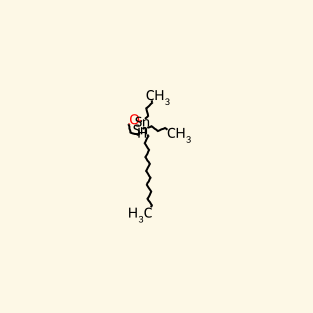 CCCCCCCCCCC[CH2][Sn]1([CH2]CCC)[CH2]CC[O][SnH]1[CH2]CCC